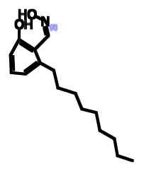 CCCCCCCCCc1cccc(O)c1/C=N\O